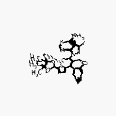 CC(C1=C(c2ccc(C3OC(C)(C)C(C)(C)O3)s2)c2ccccc2OC1)n1nc(I)c2c(N)ncnc21